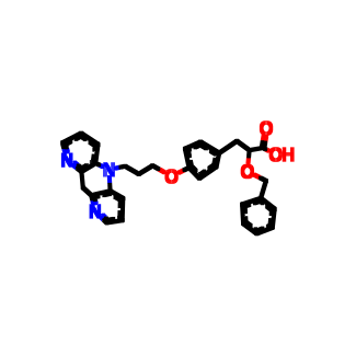 O=C(O)C(Cc1ccc(OCCCN2c3cccnc3Cc3ncccc32)cc1)OCc1ccccc1